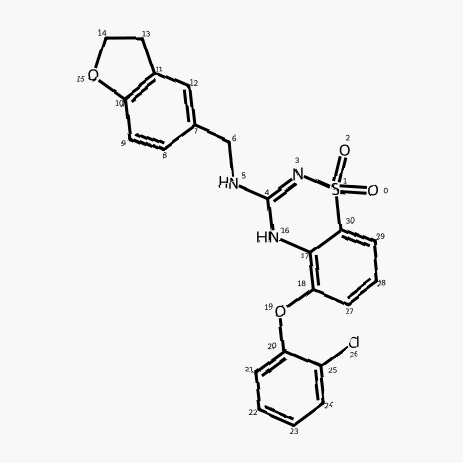 O=S1(=O)N=C(NCc2ccc3c(c2)CCO3)Nc2c(Oc3ccccc3Cl)cccc21